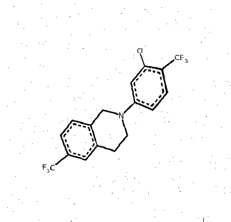 FC(F)(F)c1ccc2c(c1)CCN(c1ccc(C(F)(F)F)c(Cl)c1)C2